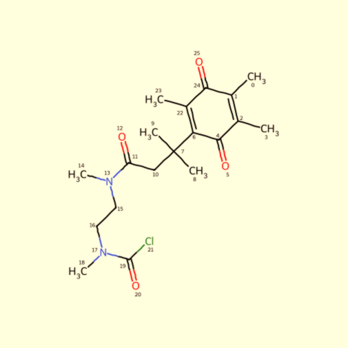 CC1=C(C)C(=O)C(C(C)(C)CC(=O)N(C)CCN(C)C(=O)Cl)=C(C)C1=O